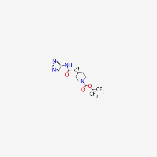 O=C(Nc1cncnc1)C1CC12CCN(C(=O)OC(C(F)(F)F)C(F)(F)F)CC2